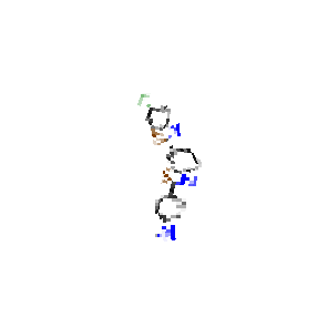 CN(C)c1ccc(-c2nc3ccc(-c4nc5ccc(F)cc5s4)cc3s2)cc1